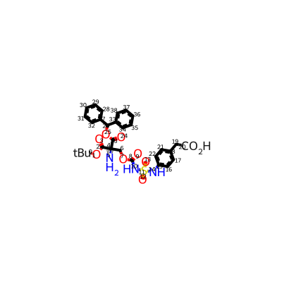 CC(C)(C)OC(=O)[C@@](N)(COC(=O)NS(=O)(=O)Nc1ccc(CC(=O)O)cc1)C(=O)OC(c1ccccc1)c1ccccc1